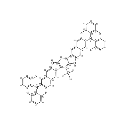 Cc1ccccc1N(c1ccc2cc3c(cc2c1)oc1c(C(C)(C)C)c2c(cc13)oc1cc3cc(N(c4ccccc4C)c4c(C)cccc4C)ccc3cc12)c1c(C)cccc1C